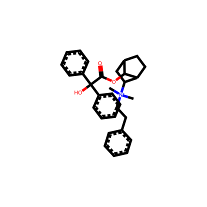 C[N+](C)(CCc1ccccc1)C1CC2CCC1C2OC(=O)C(O)(c1ccccc1)c1ccccc1